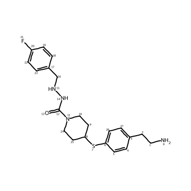 NCCc1ccc(SC2CCN(C(=O)NNCc3ccc(F)cc3)CC2)cc1